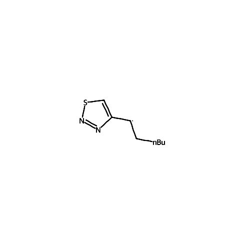 CCCCC[CH]c1csnn1